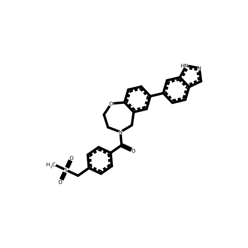 CS(=O)(=O)Cc1ccc(C(=O)N2CCOc3ccc(-c4ccc5cn[nH]c5c4)cc3C2)cc1